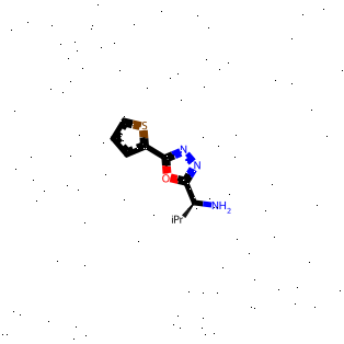 CC(C)[C@H](N)c1nnc(-c2cccs2)o1